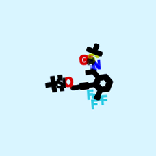 C/C(=N\[S@@+]([O-])C(C)(C)C)c1cccc(C(F)(F)F)c1C#CCO[Si](C)(C)C(C)(C)C